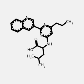 CCCc1cc(NC(CC(C)C)C(=O)O)nc(-c2cnc3ccccc3c2)n1